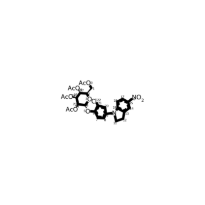 CC(=O)OC[C@H]1O[C@H](Oc2ccc(N3CCc4cc([N+](=O)[O-])ccc43)cc2Cl)[C@@H](OC(C)=O)[C@@H](OC(C)=O)[C@@H]1OC(C)=O